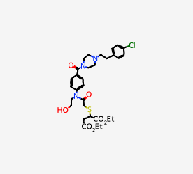 CCOC(=O)CC(SCC(=O)N(CCO)c1ccc(C(=O)N2CCN(CCc3ccc(Cl)cc3)CC2)cc1)C(=O)OCC